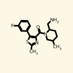 Cc1nc(C(=O)N2CC(C)CCC2CN)c(-c2cccc(F)c2)s1